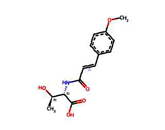 COc1ccc(/C=C/C(=O)N[C@H](C(=O)O)[C@@H](C)O)cc1